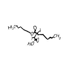 CCCCCCOC(=O)C(I)(CCCCCC)C(I)C(=O)O